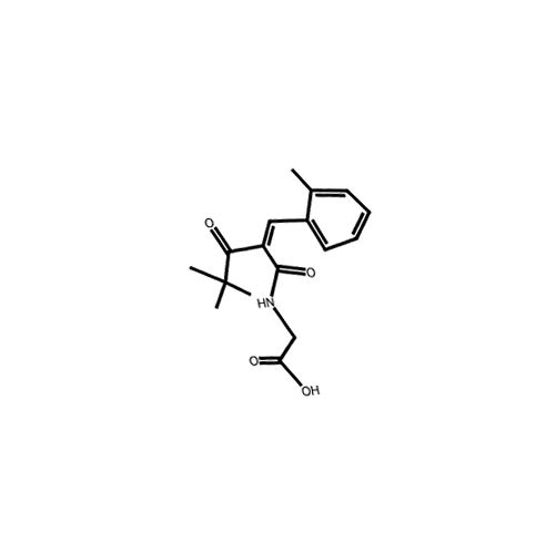 Cc1ccccc1/C=C(\C(=O)NCC(=O)O)C(=O)C(C)(C)C